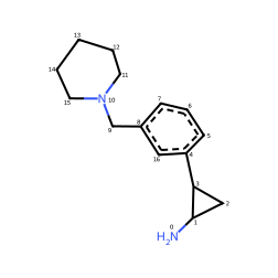 NC1CC1c1cccc(CN2CCCCC2)c1